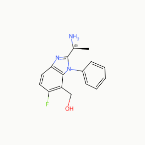 C[C@H](N)c1nc2ccc(F)c(CO)c2n1-c1ccccc1